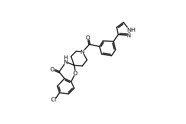 O=C1NC2(CCN(C(=O)c3cccc(-c4cc[nH]n4)c3)CC2)Oc2ccc(Cl)cc21